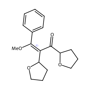 CO/C(=C(/C(=O)C1CCCO1)C1CCCO1)c1ccccc1